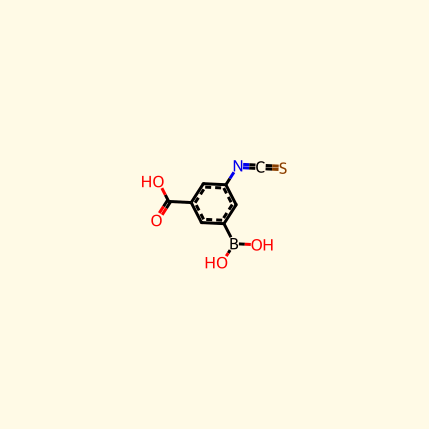 O=C(O)c1cc(N=C=S)cc(B(O)O)c1